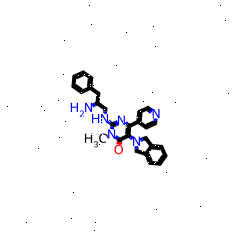 Cn1c(NCC(N)Cc2ccccc2)nc(-c2ccncc2)c(N2Cc3ccccc3C2)c1=O